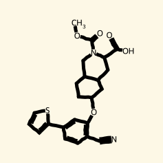 COC(=O)N1CC2CCC(Oc3cc(-c4cccs4)ccc3C#N)CC2CC1C(=O)O